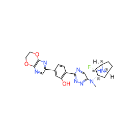 CN(c1cnc(-c2ccc(-c3cnc4c(n3)OCCO4)cc2O)nn1)[C@H]1C[C@@H]2CC[C@@H](N2)[C@H]1F